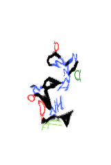 CO[C@@H]1CCCN(c2ncc(Cl)c(Nc3ccc4c(c3)c3c(c(=O)n4C)OCC(F)(F)[C@H](C4CC4)N3)n2)C1